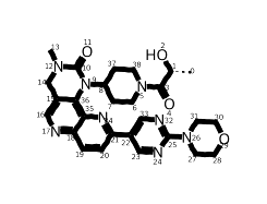 C[C@@H](O)C(=O)N1CCC(N2C(=O)N(C)Cc3cnc4ccc(-c5cnc(N6CCOCC6)nc5)nc4c32)CC1